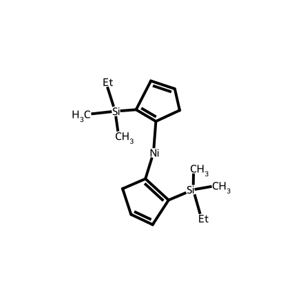 CC[Si](C)(C)C1=[C]([Ni][C]2=C([Si](C)(C)CC)C=CC2)CC=C1